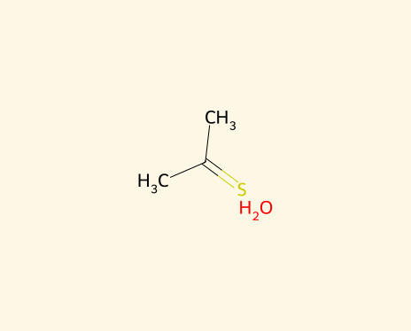 CC(C)=S.O